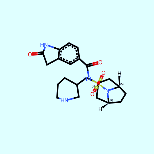 O=C1Cc2cc(C(=O)N[C@@H]3C[C@H]4CC[C@@H](C3)N4S(=O)(=O)CC3CCCNC3)ccc2N1